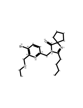 CCCCC1=NC2(CCCC2)C(=O)N1Cc1ccc(Br)c(COCC)n1